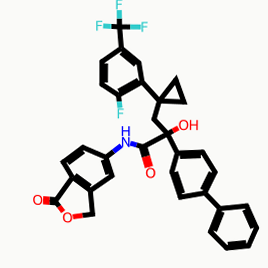 O=C1OCc2cc(NC(=O)C(O)(CC3(c4cc(C(F)(F)F)ccc4F)CC3)c3ccc(-c4ccccc4)cc3)ccc21